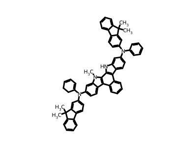 Cn1c2cc(N(C3=CC=CCC3)c3ccc4c(c3)C(C)(C)c3ccccc3-4)ccc2c2c3ccccc3c3c4ccc(N(c5ccccc5)c5ccc6c(c5)C(C)(C)c5ccccc5-6)cc4[nH]c3c21